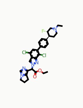 CCOC(=O)C(c1ncn2c1CCC2)n1cc2c(Cl)cc(-c3ccc([C@@H]4CCN(CC)C[C@H]4F)cc3)c(Cl)c2n1